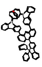 c1ccc(-n2c3ccccc3c3cc(-c4cccc5c(-c6ccc7c(c6)C(c6ccccc6)(c6ccccc6)c6ccccc6-7)c6cccc(-c7ccc8c(c7)c7ccccc7n8-c7ccccc7)c6cc45)ccc32)cc1